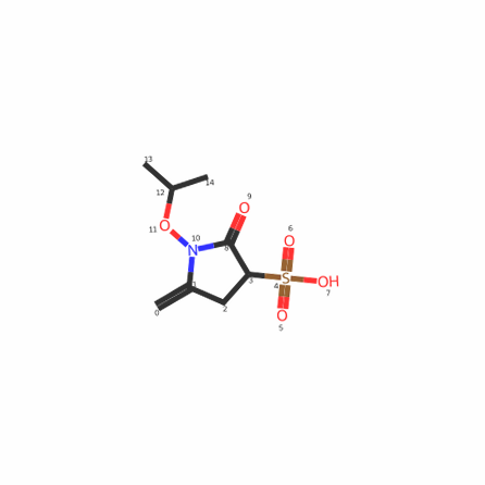 C=C1CC(S(=O)(=O)O)C(=O)N1OC(C)C